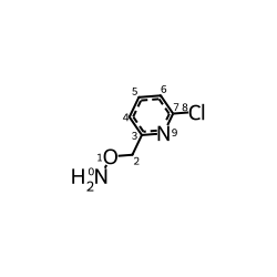 NOCc1cccc(Cl)n1